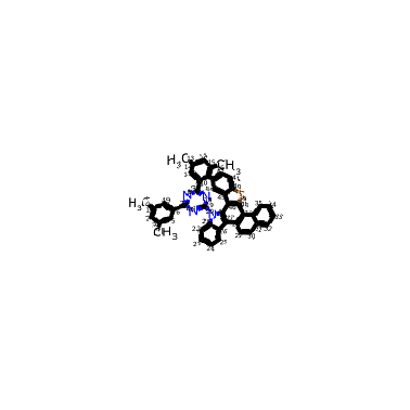 Cc1cc(C)cc(-c2nc(-c3cc(C)cc(C)c3)nc(-n3c4ccccc4c4c5ccc6ccccc6c5c5sc6ccccc6c5c43)n2)c1